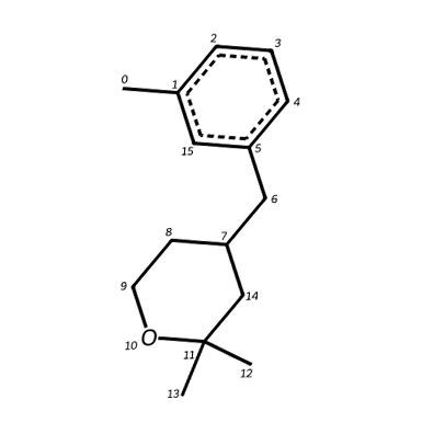 Cc1cccc(CC2CCOC(C)(C)C2)c1